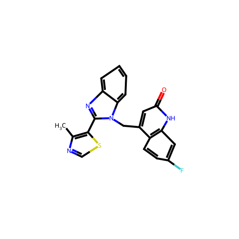 Cc1ncsc1-c1nc2ccccc2n1Cc1cc(=O)[nH]c2cc(F)ccc12